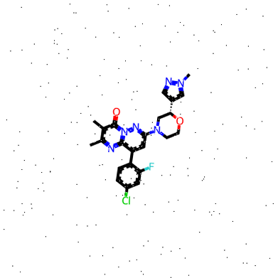 Cc1nc2c(-c3ccc(Cl)cc3F)cc(N3CCO[C@@H](c4cnn(C)c4)C3)nn2c(=O)c1C